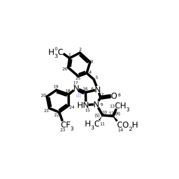 Cc1ccc(Cn2c(=O)n([C@@H](C)[C@@H](C)C(=O)O)[nH]/c2=N\c2cccc(C(F)(F)F)c2)cc1